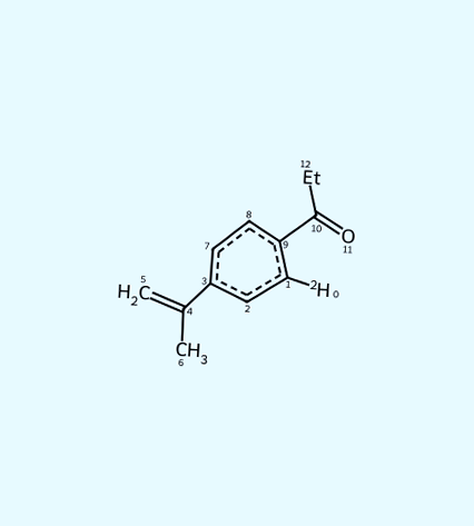 [2H]c1cc(C(=C)C)ccc1C(=O)CC